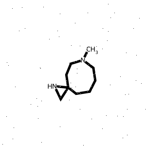 CN1CCCCC2(CC1)CN2